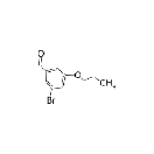 CCCOc1cc(Br)cc(C=O)c1